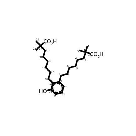 CC(C)(CCCCCCc1cccc(O)c1CCCCCCC(C)(C)C(=O)O)C(=O)O